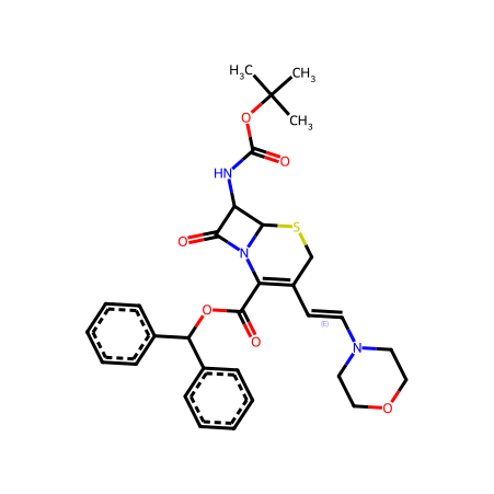 CC(C)(C)OC(=O)NC1C(=O)N2C(C(=O)OC(c3ccccc3)c3ccccc3)=C(/C=C/N3CCOCC3)CSC12